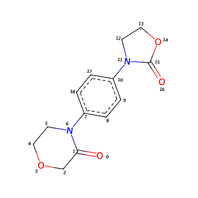 O=C1COCCN1c1ccc(N2C[CH]OC2=O)cc1